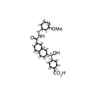 COc1cc(CNC(=O)c2ccc3ccc(C(O)c4ccc(C(=O)O)cc4)cc3c2)ccn1